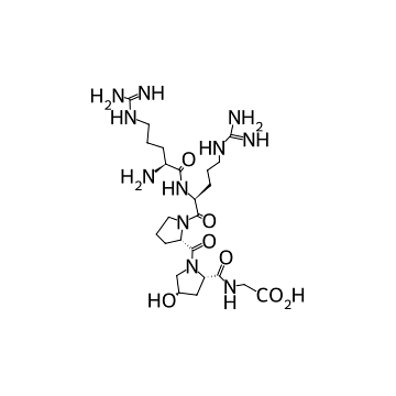 N=C(N)NCCC[C@H](NC(=O)[C@@H](N)CCCNC(=N)N)C(=O)N1CCC[C@H]1C(=O)N1C[C@H](O)C[C@H]1C(=O)NCC(=O)O